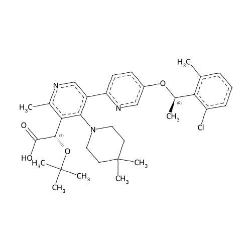 Cc1cccc(Cl)c1[C@@H](C)Oc1ccc(-c2cnc(C)c([C@H](OC(C)(C)C)C(=O)O)c2N2CCC(C)(C)CC2)nc1